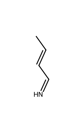 C/C=C/C=N